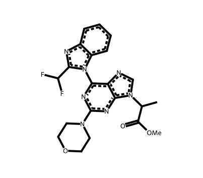 COC(=O)C(C)n1cnc2c(-n3c(C(F)F)nc4ccccc43)nc(N3CCOCC3)nc21